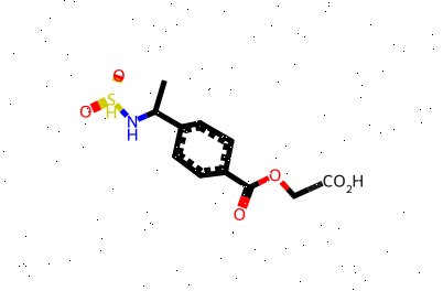 CC(N[SH](=O)=O)c1ccc(C(=O)OCC(=O)O)cc1